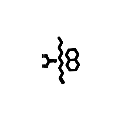 C1CCC2CCCCC2C1.C=CCCCCCCCC.O=C(O)O